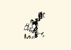 COc1cc(-c2nc(C3CCN(C4CCN(C(C)=O)CC4)CC3)n3ccnc(C)c23)ccc1NC(=O)c1cc2c(OC)cccc2n1C